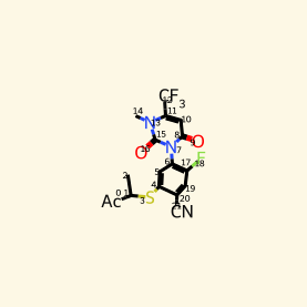 CC(=O)C(C)Sc1cc(-n2c(=O)cc(C(F)(F)F)n(C)c2=O)c(F)cc1C#N